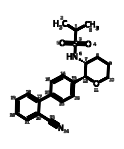 CC(C)S(=O)(=O)N[C@@H]1CCCO[C@H]1c1ccc(-c2ccccc2C#N)cc1